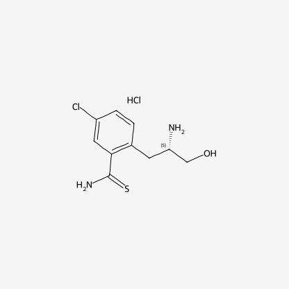 Cl.NC(=S)c1cc(Cl)ccc1C[C@H](N)CO